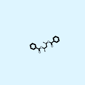 C[C@H](C[C@@H](C)OC(=O)c1ccccc1)OC(=O)c1ccccc1